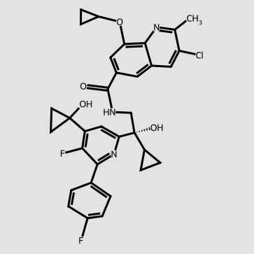 Cc1nc2c(OC3CC3)cc(C(=O)NC[C@](O)(c3cc(C4(O)CC4)c(F)c(-c4ccc(F)cc4)n3)C3CC3)cc2cc1Cl